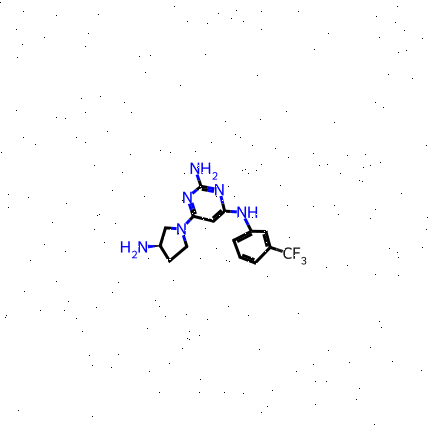 Nc1nc(Nc2cccc(C(F)(F)F)c2)cc(N2CC[C@@H](N)C2)n1